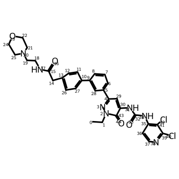 CCn1nc(-c2cccc(-c3ccc(CC(=O)NCCN4CCOCC4)cc3)c2)cc(NC(=O)Nc2ccnc(Cl)c2Cl)c1=O